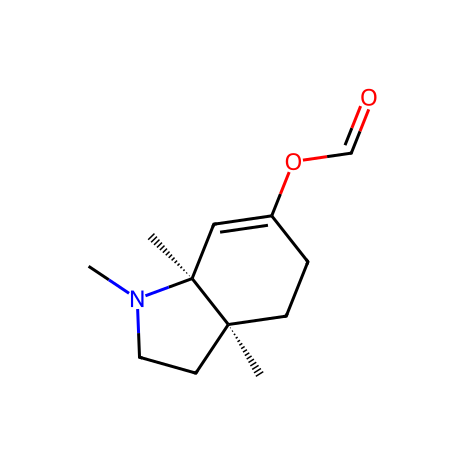 CN1CC[C@]2(C)CCC(OC=O)=C[C@]12C